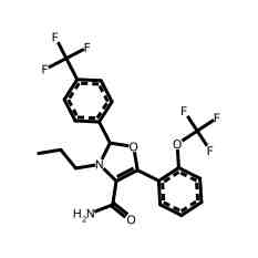 CCCN1C(C(N)=O)=C(c2ccccc2OC(F)(F)F)OC1c1ccc(C(F)(F)F)cc1